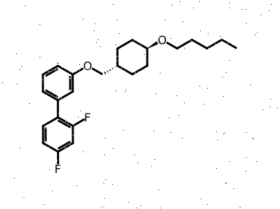 CCCCCO[C@H]1CC[C@H](COc2[c]ccc(-c3ccc(F)cc3F)c2)CC1